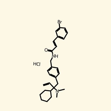 C=CC(Cc1ccc(CNC(=O)C=Cc2cccc(Br)c2)cc1)(C1CCCCC1)N(C)C.Cl